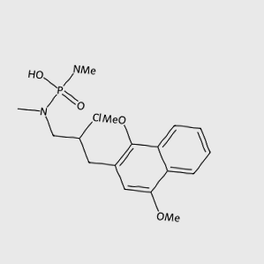 CNP(=O)(O)N(C)CC(Cl)Cc1cc(OC)c2ccccc2c1OC